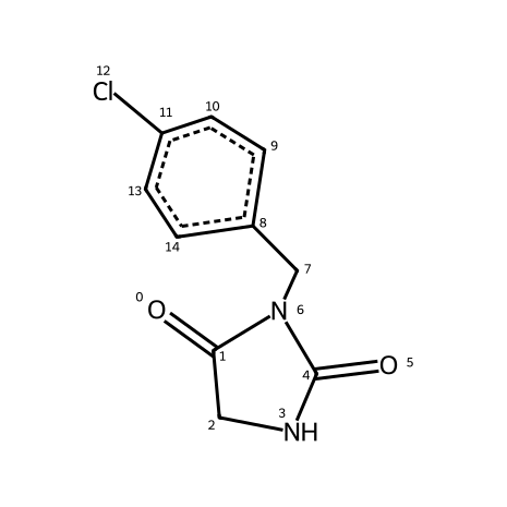 O=C1CNC(=O)N1Cc1ccc(Cl)cc1